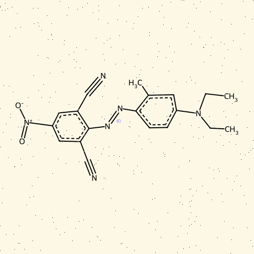 CCN(CC)c1ccc(/N=N/c2c(C#N)cc([N+](=O)[O-])cc2C#N)c(C)c1